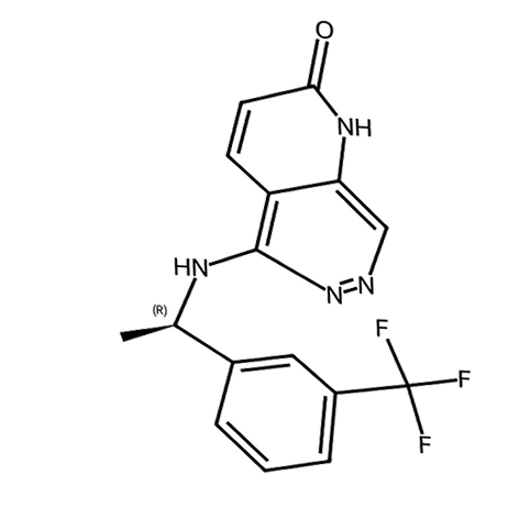 C[C@@H](Nc1nncc2[nH]c(=O)ccc12)c1cccc(C(F)(F)F)c1